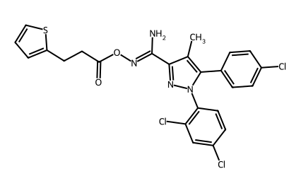 Cc1c(/C(N)=N/OC(=O)CCc2cccs2)nn(-c2ccc(Cl)cc2Cl)c1-c1ccc(Cl)cc1